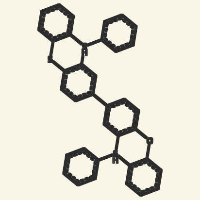 c1ccc([SH]2c3ccccc3Oc3ccc(-c4ccc5c(c4)[SH](c4ccccc4)c4ccccc4S5)cc32)cc1